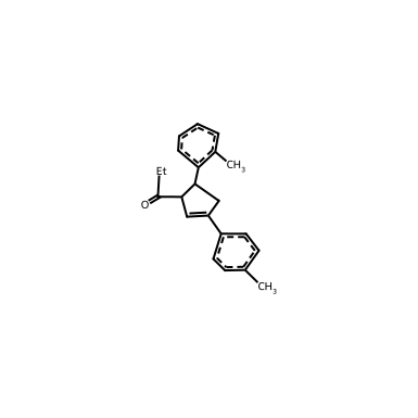 CCC(=O)C1C=C(c2ccc(C)cc2)CC1c1ccccc1C